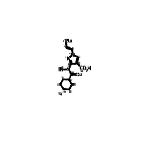 CC(C)N(c1nn(/C=C/C(C)(C)C)cc1C(=O)O)C(=O)[C@H]1CC[C@H](C)CC1